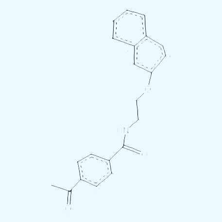 CC(=O)c1ccc(C(=O)NCCOc2ccc3ccccc3c2)cc1